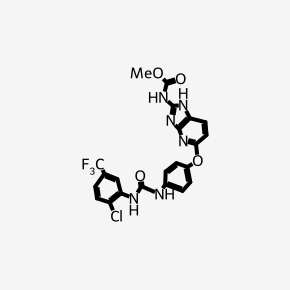 COC(=O)Nc1nc2nc(Oc3ccc(NC(=O)Nc4cc(C(F)(F)F)ccc4Cl)cc3)ccc2[nH]1